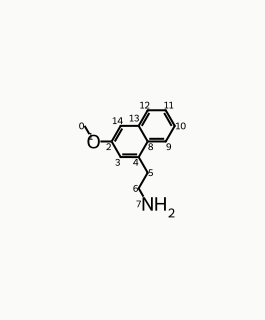 COc1cc(CCN)c2ccccc2c1